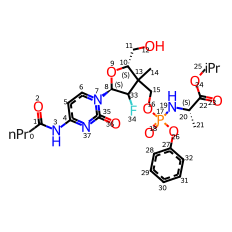 CCCC(=O)Nc1ccn([C@H]2O[C@H](CO)C(C)(COP(=O)(N[C@@H](C)C(=O)OC(C)C)Oc3ccccc3)C2F)c(=O)n1